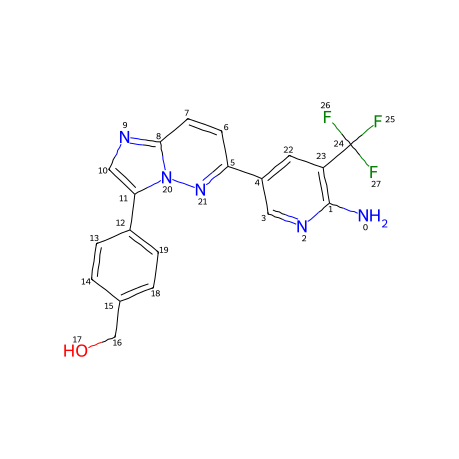 Nc1ncc(-c2ccc3ncc(-c4ccc(CO)cc4)n3n2)cc1C(F)(F)F